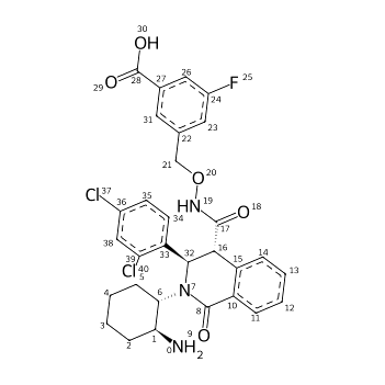 N[C@H]1CCCC[C@@H]1N1C(=O)c2ccccc2[C@@H](C(=O)NOCc2cc(F)cc(C(=O)O)c2)[C@@H]1c1ccc(Cl)cc1Cl